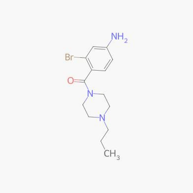 CCCN1CCN(C(=O)c2ccc(N)cc2Br)CC1